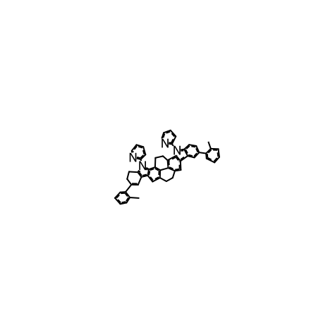 Cc1ccccc1C1=Cc2c(n(-c3ccccn3)c3c4c5c(cc23)CCc2cc3c6cc(-c7ccccc7C)ccc6n(-c6ccccn6)c3c(c2-5)CC4)CC1